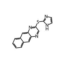 c1ccc2cc3nc(Sc4ncc[nH]4)cnc3cc2c1